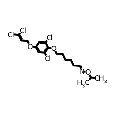 CC(C)ON=CCCCCCOc1c(Cl)cc(OCC=C(Cl)Cl)cc1Cl